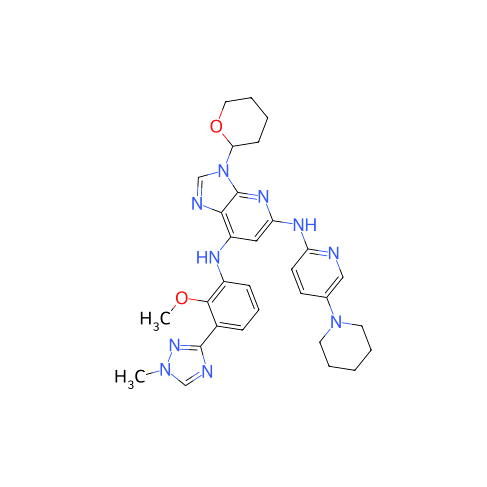 COc1c(Nc2cc(Nc3ccc(N4CCCCC4)cn3)nc3c2ncn3C2CCCCO2)cccc1-c1ncn(C)n1